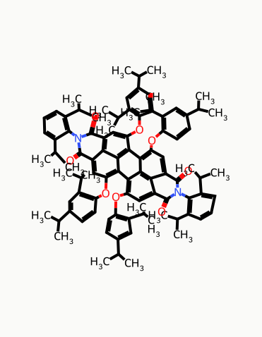 CC(C)c1ccc(Oc2cc3c4c(cc(Oc5ccc(C(C)C)cc5C(C)C)c5c6c(Oc7ccc(C(C)C)cc7C(C)C)cc7c8c(cc(Oc9ccc(C(C)C)cc9C(C)C)c(c2c45)c86)C(=O)N(c2c(C(C)C)cccc2C(C)C)C7=O)C(=O)N(c2c(C(C)C)cccc2C(C)C)C3=O)c(C(C)C)c1